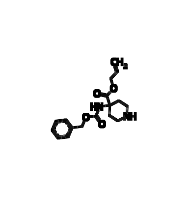 C=CCOC(=O)C1(NC(=O)OCc2ccccc2)CCNCC1